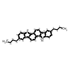 CCCCc1ccc2[nH]c3c(ccc4c3ccc3c5cc(CCCC)ccc5sc34)c2c1